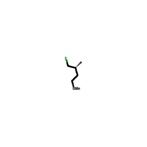 COCC[C@@H](C)CF